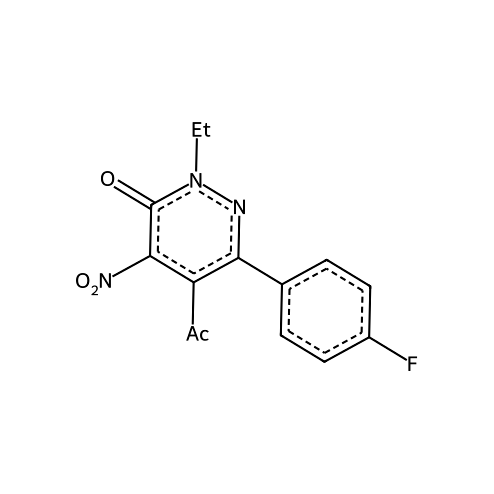 CCn1nc(-c2ccc(F)cc2)c(C(C)=O)c([N+](=O)[O-])c1=O